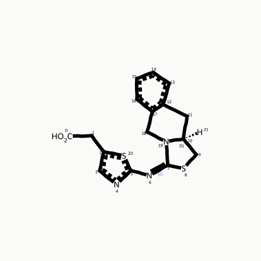 O=C(O)Cc1cnc(/N=C2/SC[C@@H]3Cc4ccccc4CN23)s1